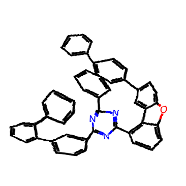 c1ccc(-c2ccc(-c3ccc4oc5cccc(-c6nc(-c7ccccc7)nc(-c7cccc(-c8ccccc8-c8ccccc8)c7)n6)c5c4c3)cc2)cc1